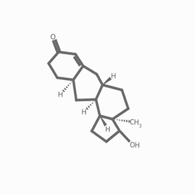 C[C@@]12CC[C@H]3CC4=CC(=O)CC[C@@H]4C[C@@H]3[C@H]1CCC2O